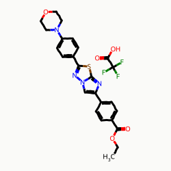 CCOC(=O)c1ccc(-c2cn3nc(-c4ccc(N5CCOCC5)cc4)sc3n2)cc1.O=C(O)C(F)(F)F